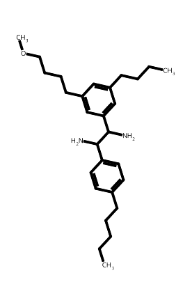 CCCCCc1ccc(C(N)C(N)c2cc(CCCC)cc(CCCCOC)c2)cc1